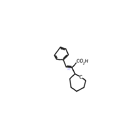 O=C(O)/C(=C\c1ccccc1)C1CCCCCC1